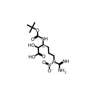 CC(C)(C)OC(=O)N[C@@H](CCCN(C(=N)N)[N+](=O)[O-])C(O)C(=O)O